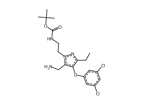 CCc1nn(CCNC(=O)OC(C)(C)C)c(CN)c1Oc1cc(Cl)cc(Cl)c1